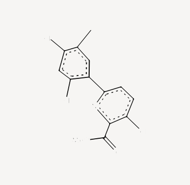 COC(=O)c1nc(-c2cc(C)c(Cl)cc2Cl)ccc1Cl